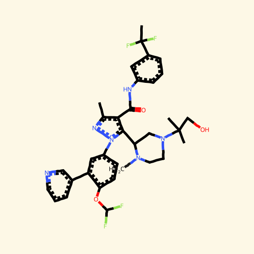 Cc1nn(-c2ccc(OC(F)F)c(-c3cccnc3)c2)c(C2CN(C(C)(C)CO)CCN2C(=O)O)c1C(=O)Nc1cccc(C(C)(F)F)c1